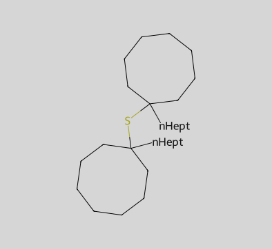 CCCCCCCC1(SC2(CCCCCCC)CCCCCCC2)CCCCCCC1